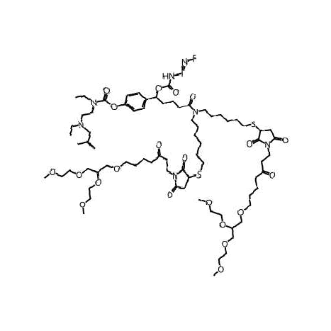 CCN(CCN(CC)C(=O)Oc1ccc(C(CCCC(=O)N(CCCCCCSC2CC(=O)N(CCC(=O)CCCCOCC(COCCOC)OCCOC)C2=O)CCCCCCSC2CC(=O)N(CCC(=O)CCCCOCC(COCCOC)OCCOC)C2=O)OC(=O)N/I=N/F)cc1)CC(C)C